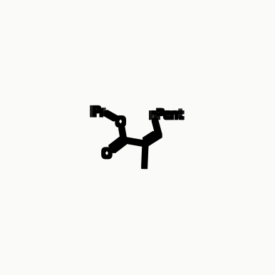 CCCCCC=C(C)C(=O)OC(C)C